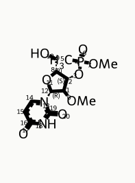 COC1[C@@H](OP(C)(=O)OC)[C@@H](CO)O[C@H]1n1ccc(=O)[nH]c1=O